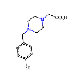 CCc1ccc(CN2CCN(CC(=O)O)CC2)cc1